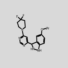 CC(C)Oc1ccc2c(c1)C(c1cc(N3CCC(F)(F)CC3)ncn1)NN2